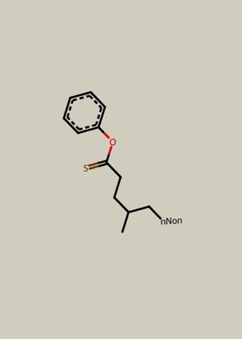 CCCCCCCCCCC(C)CCC(=S)Oc1ccccc1